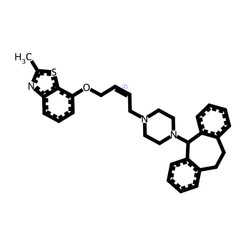 Cc1nc2cccc(OC/C=C\CN3CCN(C4c5ccccc5CCc5ccccc54)CC3)c2s1